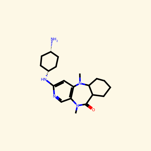 CN1C(=O)C2CCCCC2N(C)c2cc(N[C@H]3CC[C@@H](N)CC3)ncc21